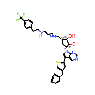 O[C@@H]1[C@@H](CNCCCNCCc2ccc(C(F)(F)F)cc2)C[C@@H](n2cc(-c3cc(Cc4ccccc4)cs3)c3cncnc32)[C@@H]1O